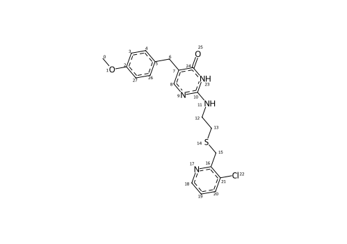 COc1ccc(Cc2cnc(NCCSCc3ncccc3Cl)[nH]c2=O)cc1